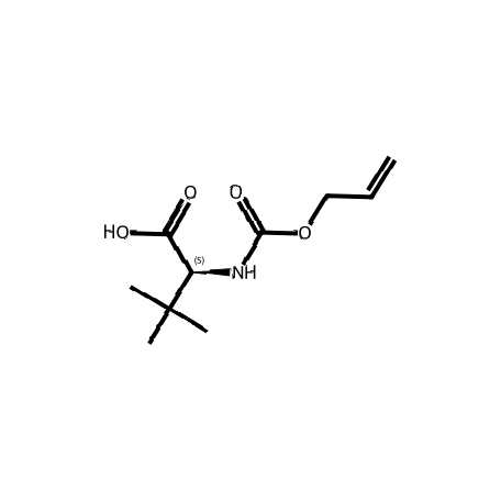 C=CCOC(=O)N[C@H](C(=O)O)C(C)(C)C